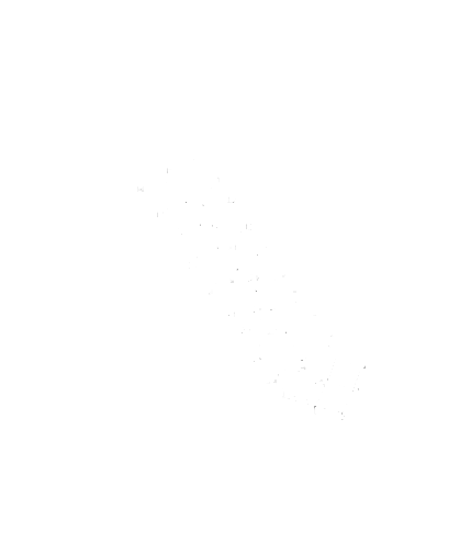 C1=C2CC3CC4C5C6C7C8C9C%10C%11C%12CC%13CC%14C%15C%16C%17C%18C%19C%20C1C5(C234)C%206C%197C%188C%179C%16%10C%15%11C%13%14%12